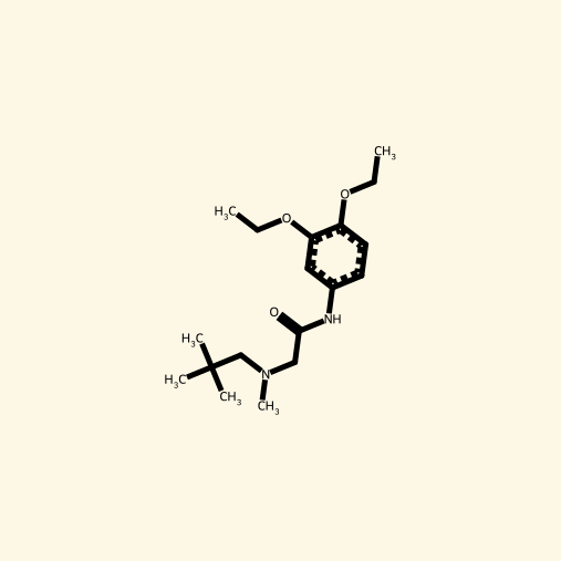 CCOc1ccc(NC(=O)CN(C)CC(C)(C)C)cc1OCC